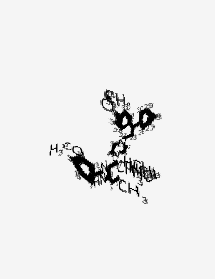 CCCc1[nH]c(-c2cccc(OC)c2)nc1C(C)N1CCN(CCC(c2ccccc2)c2ccc(OC)cc2)CC1.Cl.Cl.Cl